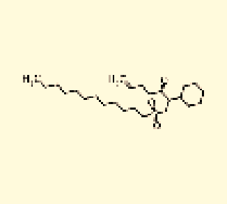 C=CCCC(=O)C(CS(=O)(=O)CCCCCCCCCCCC)C1CCCCC1